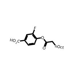 CCCCCCCCCC(=O)Oc1ccc(C(=O)O)cc1F